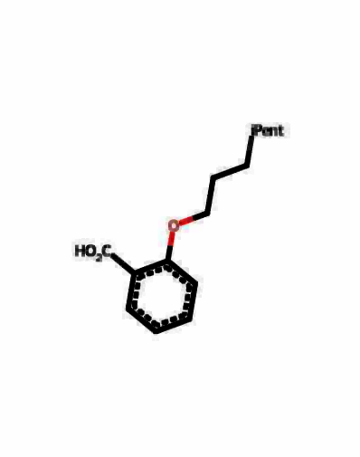 CCCC(C)CCCOc1ccccc1C(=O)O